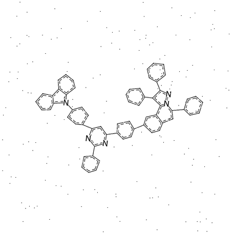 c1ccc(-c2nc(-c3ccc(-c4ccc5cc(-c6ccccc6)n6nc(-c7ccccc7)c(-c7ccccc7)c6c5c4)cc3)cc(-c3ccc(-n4c5ccccc5c5ccccc54)cc3)n2)cc1